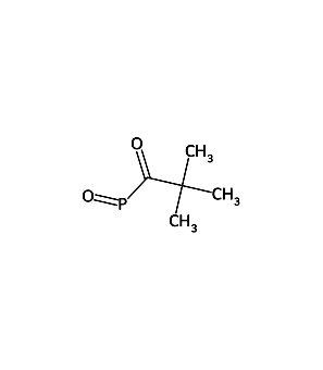 CC(C)(C)C(=O)P=O